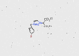 CCOC(=O)C(C(=O)OCC)n1cc[n+](Cc2ccc(Br)cc2)n1